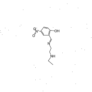 CCNCCN=Cc1cc([N+](=O)[O-])ccc1O